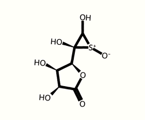 O=C1O[C@H]([C@]2(O)C(O)[S+]2[O-])[C@H](O)[C@@H]1O